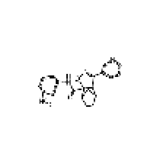 O=C(Nc1cccc([N+](=O)[O-])c1)C12ON=C(c3cccnc3)C1C1CCC2C1